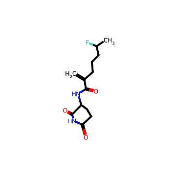 C=C(CCCC(C)F)C(=O)NC1CCC(=O)NC1=O